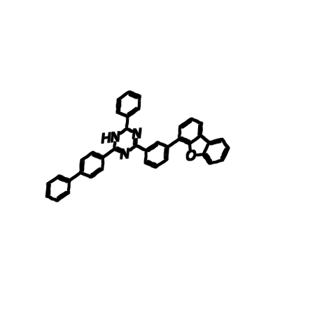 c1ccc(-c2ccc(C3=NC(c4cccc(-c5cccc6c5oc5ccccc56)c4)=NC(c4ccccc4)N3)cc2)cc1